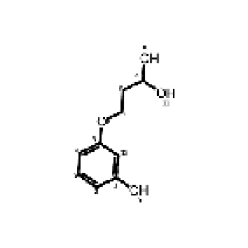 Oc1cccc(OCCC(O)O)c1